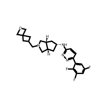 Fc1cc(F)c(F)c(-c2ccc(N[C@@H]3C[C@@H]4CN(CC5CC6(COC6)C5)C[C@@H]4C3)nn2)c1